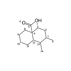 CC1CCC2(C(=O)O)CCCCC2C1C